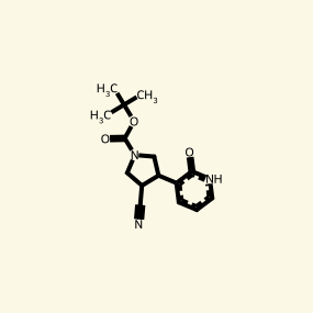 CC(C)(C)OC(=O)N1CC(C#N)C(c2ccc[nH]c2=O)C1